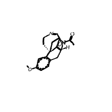 COc1ccc2c(c1)[C@]13CCN=CC[C@@]1(O)[C@@H](C2)N(C(C)=O)CC3